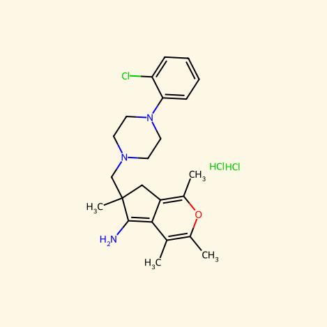 CC1=C(C)C2=C(N)C(C)(CN3CCN(c4ccccc4Cl)CC3)CC2=C(C)O1.Cl.Cl